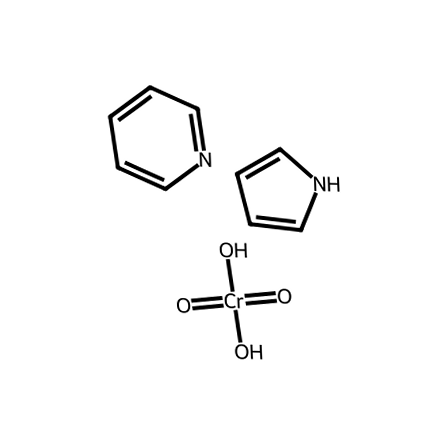 [O]=[Cr](=[O])([OH])[OH].c1cc[nH]c1.c1ccncc1